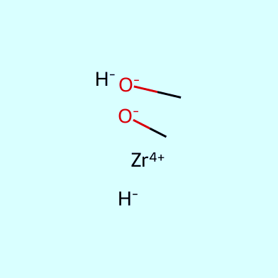 C[O-].C[O-].[H-].[H-].[Zr+4]